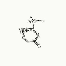 C[SH](C)c1nc(=O)cc[nH]1